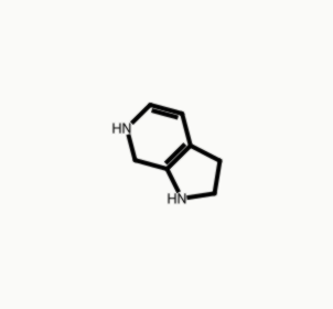 C1=CC2=C(CN1)NCC2